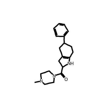 CN1CCN(C(=O)C2CC3=C(CCC(c4ccccc4)C3)N2)CC1